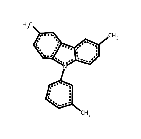 Cc1cccc(-n2c3ccc(C)cc3c3cc(C)ccc32)c1